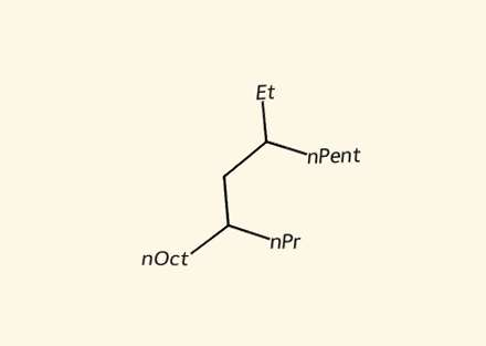 CCCCCCCCC(CCC)CC(CC)CCCCC